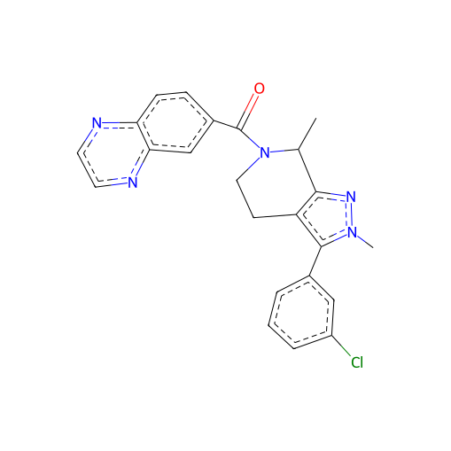 CC1c2nn(C)c(-c3cccc(Cl)c3)c2CCN1C(=O)c1ccc2nccnc2c1